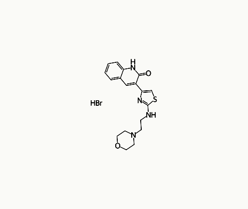 Br.O=c1[nH]c2ccccc2cc1-c1csc(NCCN2CCOCC2)n1